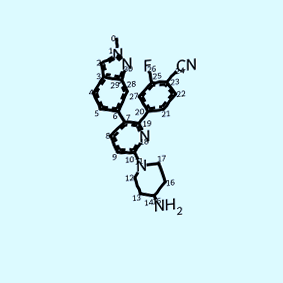 Cn1cc2ccc(-c3ccc(N4CCC(N)CC4)nc3-c3ccc(C#N)c(F)c3)cc2n1